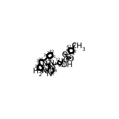 Cc1ccc(S(=O)(=O)OC[C@]2(O)C[C@H](c3nc(N4C(c5ccccc5)=CCc5ccccc54)c4c(N)nccn43)C2)cc1